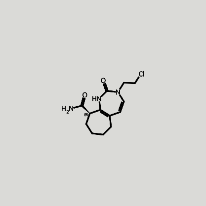 NC(=O)[C@@H]1CCCCC2=C1NC(=O)N(CCCl)C=C2